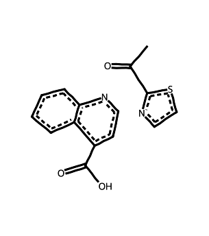 CC(=O)c1nccs1.O=C(O)c1ccnc2ccccc12